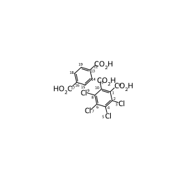 O=C(O)c1c(Cl)c(Cl)c(Cl)c(Cl)c1C(=O)O.O=C(O)c1ccc(C(=O)O)cc1